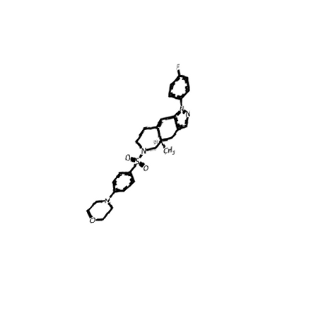 C[C@]12Cc3cnn(-c4ccc(F)cc4)c3C=C1CCN(S(=O)(=O)c1ccc(N3CCOCC3)cc1)C2